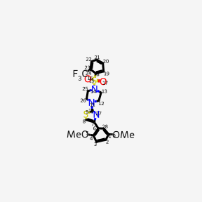 COc1ccc(OC)c(-c2csc(N3CCN(S(=O)(=O)c4ccccc4C(F)(F)F)CC3)n2)c1